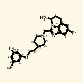 CC1CCc2cc(F)cc3nc(CN4CCC(CCOc5cc(F)cc(F)c5)CC4)n1c23